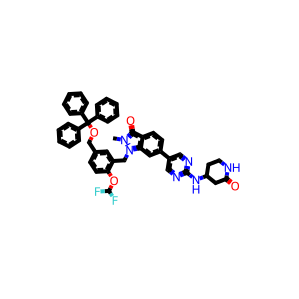 Cn1c(=O)c2ccc(-c3cnc(NC4CCNC(=O)C4)nc3)cc2n1Cc1cc(COC(c2ccccc2)(c2ccccc2)c2ccccc2)ccc1OC(F)F